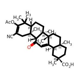 CC(=O)OC1=C(C#N)C[C@]2(C)[C@H]3C(=O)C=C4[C@@H]5C[C@](C)(C(=O)O)CC[C@]5(C)CC[C@@]4(C)[C@]3(C)CC[C@H]2C1(C)C